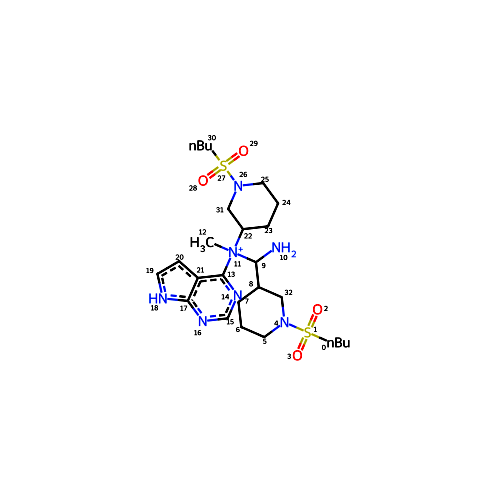 CCCCS(=O)(=O)N1CCCC(C(N)[N+](C)(c2ncnc3[nH]ccc23)C2CCCN(S(=O)(=O)CCCC)C2)C1